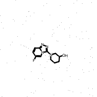 OC1CCCN(c2nnc3ccc(F)cn23)C1